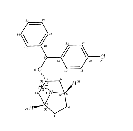 CN1[C@@H]2CC[C@H]1C[C@@H](OC(c1ccccc1)c1ccc(Cl)cc1)C2